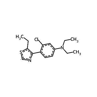 CCc1s[c]nc1-c1ccc(N(CC)CC)cc1Cl